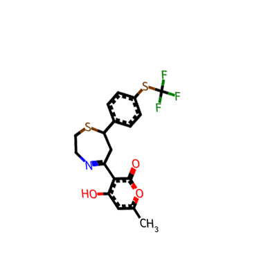 Cc1cc(O)c(C2=NCCSC(c3ccc(SC(F)(F)F)cc3)C2)c(=O)o1